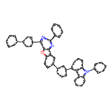 c1ccc(-c2ccc(-c3nc(-c4ccccc4)nc4c3oc3ccc(-c5cccc(-c6cccc7c6c6ccccc6n7-c6ccccc6)c5)cc34)cc2)cc1